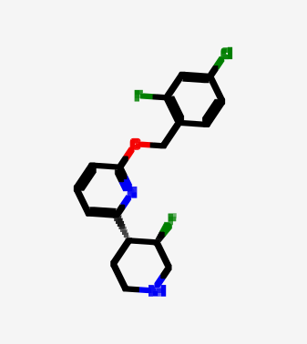 Fc1cc(Cl)ccc1COc1cccc([C@H]2CCNC[C@@H]2F)n1